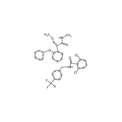 CNC(=O)C(=NOC)c1ccccc1Oc1ccccc1.O=C(NCc1ccc(C(F)(F)F)cc1)c1c(Cl)cccc1Cl